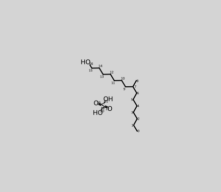 CCCCCCCC(C)CCCCCCCO.O=S(=O)(O)O